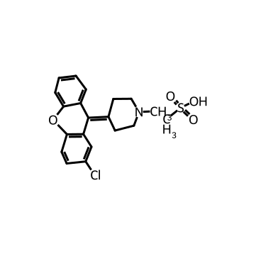 CN1CCC(=C2c3ccccc3Oc3ccc(Cl)cc32)CC1.CS(=O)(=O)O